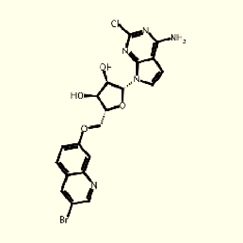 Nc1nc(Cl)nc2c1ccn2[C@@H]1O[C@H](COc2ccc3cc(Br)cnc3c2)[C@@H](O)[C@H]1O